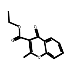 CCOC(=O)c1c(C)oc2ccccc2c1=O